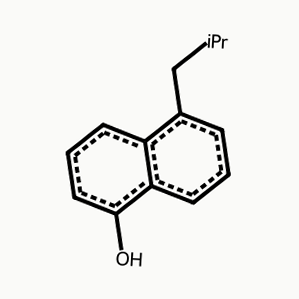 CC(C)Cc1cccc2c(O)cccc12